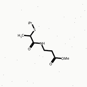 COC(=O)CCNC(=O)C(C)SC(C)C